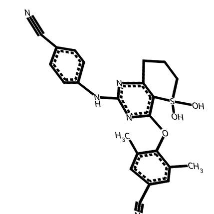 Cc1cc(C#N)cc(C)c1Oc1nc(Nc2ccc(C#N)cc2)nc2c1S(O)(O)CCC2